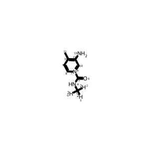 [2H]C([2H])([2H])NC(=O)[n+]1ccc(C)c(N)c1